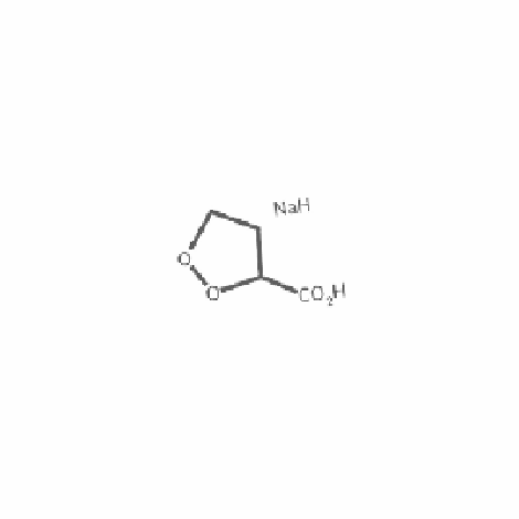 O=C(O)C1CCOO1.[NaH]